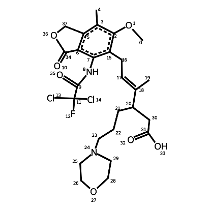 COc1c(C)c2c(c(NC(=O)C(F)(Cl)Cl)c1C/C=C(\C)C(CCCN1CCOCC1)CC(=O)O)C(=O)OC2